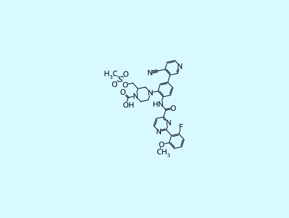 COc1cccc(F)c1-c1nccc(C(=O)Nc2ccc(-c3cnccc3C#N)cc2N2CCN(C(=O)O)C(COS(C)(=O)=O)C2)n1